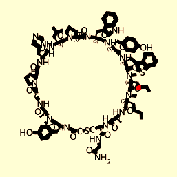 CCCC[C@H]1C(=O)N(C)[C@@H](CCCC)C(=O)N[C@@H](C)C(=O)N[C@H](C(=O)NCC(N)=O)CSCC(=O)N[C@@H](Cc2ccc(O)cc2)C(=O)N(C)[C@@H](C)C(=O)NCC(=O)N2CCC[C@H]2C(=O)N[C@@H](Cc2cnc[nH]2)C(=O)N[C@@H](CC(C)C)C(=O)N2CCC[C@H]2C(=O)N[C@@H](Cc2c[nH]c3ccccc23)C(=O)N[C@@H](Cc2ccc(O)cc2)C(=O)N[C@@H](Cc2csc3ccccc23)C(=O)N1C